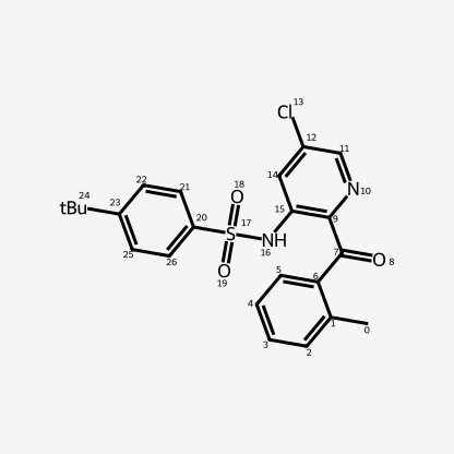 Cc1ccccc1C(=O)c1ncc(Cl)cc1NS(=O)(=O)c1ccc(C(C)(C)C)cc1